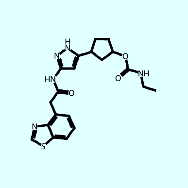 CCNC(=O)OC1CCC(c2cc(NC(=O)Cc3cccc4scnc34)n[nH]2)C1